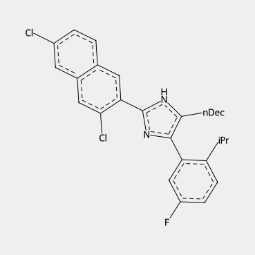 CCCCCCCCCCc1[nH]c(-c2cc3ccc(Cl)cc3cc2Cl)nc1-c1cc(F)ccc1C(C)C